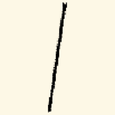 C#CC#CC#CC#CC#CC#CC#CC#CC#CC#CC#CC#CC#CC#CC#CC#CC#CC#CC#CC#CC#CC#CC#CC#CC#CC#CC#CC#N